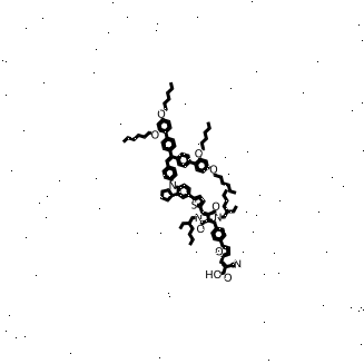 CCCCCCOc1ccc(-c2ccc(C(=Cc3ccc(N4c5ccc(-c6ccc(C7=C8C(=O)N(CC(CC)CCCC)C(c9ccc(-c%10ccc(/C=C(\C#N)C(=O)O)o%10)cc9)=C8C(=O)N7CC(CC)CCCC)s6)cc5C5CCCC54)cc3)c3ccc(-c4ccc(OCCCCCC)cc4OCCCCCC)cc3)cc2)c(OCCCCCC)c1